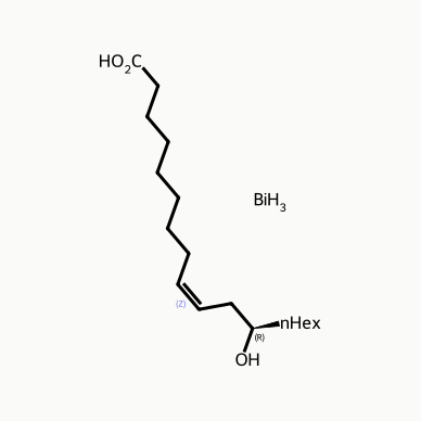 CCCCCC[C@@H](O)C/C=C\CCCCCCCC(=O)O.[BiH3]